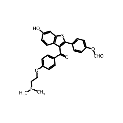 CN(C)CCOc1ccc(C(=O)c2c(-c3ccc(OC=O)cc3)sc3cc(O)ccc23)cc1